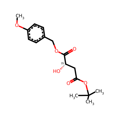 COc1ccc(COC(=O)[C@@H](O)CC(=O)OC(C)(C)C)cc1